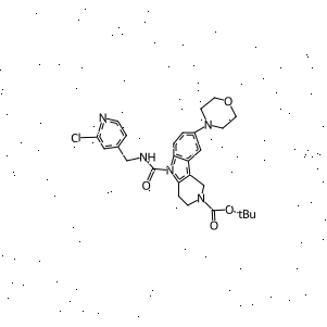 CC(C)(C)OC(=O)N1CCc2c(c3cc(N4CCOCC4)ccc3n2C(=O)NCc2ccnc(Cl)c2)C1